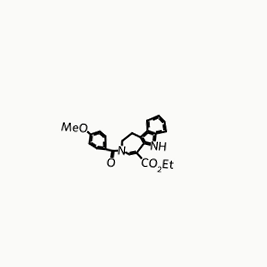 CCOC(=O)C1=CN(C(=O)c2ccc(OC)cc2)CCc2c1[nH]c1ccccc21